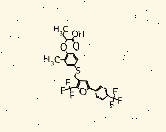 CCC(Oc1ccc(SCc2cc(-c3ccc(C(F)(F)F)cc3)oc2C(F)(F)F)cc1C)C(=O)O